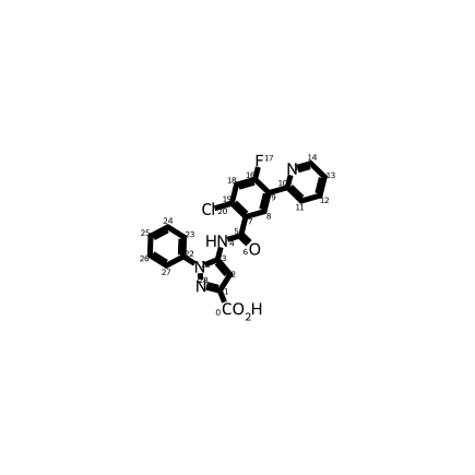 O=C(O)c1cc(NC(=O)c2cc(-c3ccccn3)c(F)cc2Cl)n(-c2ccccc2)n1